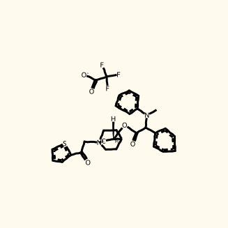 CN(c1ccccc1)C(C(=O)O[C@H]1C[N+]2(CC(=O)c3cccs3)CCC1CC2)c1ccccc1.O=C([O-])C(F)(F)F